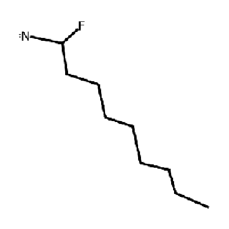 CCCCCCCCC([N])F